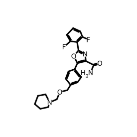 NC(=O)c1nc(-c2c(F)cccc2F)oc1-c1ccc(COCN2CCCCC2)cc1